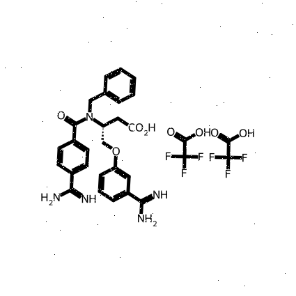 N=C(N)c1ccc(C(=O)N(Cc2ccccc2)[C@@H](COc2cccc(C(=N)N)c2)CC(=O)O)cc1.O=C(O)C(F)(F)F.O=C(O)C(F)(F)F